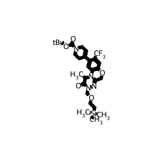 CC1C(=O)N(COCC[Si](C)(C)C)N=C2COc3cc(C(F)(F)F)c(C4=CCN(C(=O)OC(C)(C)C)CC4)cc3N21